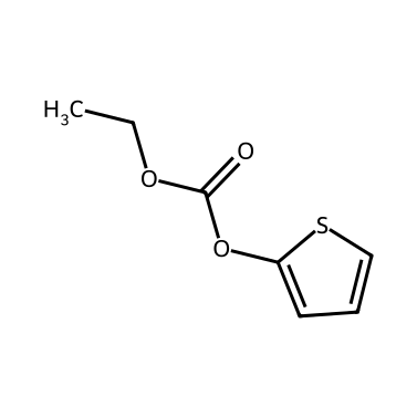 CCOC(=O)Oc1cccs1